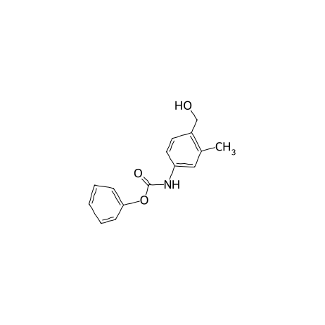 Cc1cc(NC(=O)Oc2ccccc2)ccc1CO